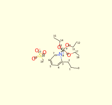 CCCc1cccc[n+]1[Si](OCC)(OCC)OCC.CS(=O)(=O)[O-]